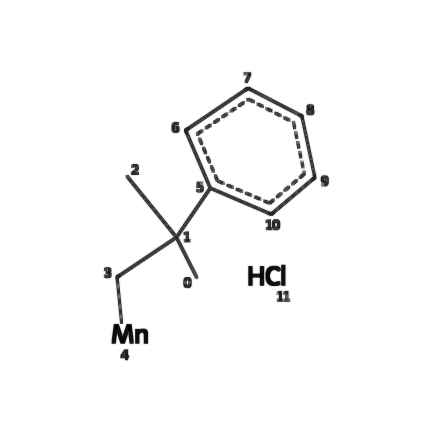 CC(C)([CH2][Mn])c1ccccc1.Cl